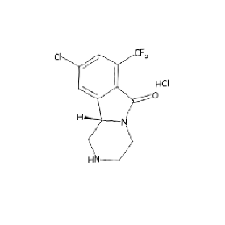 Cl.O=C1c2c(cc(Cl)cc2C(F)(F)F)[C@H]2CNCCN12